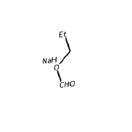 CCCOC=O.[NaH]